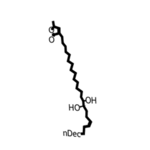 CCCCCCCCCCCC/C=C\CC[C@@H](O)[C@H](O)CCCCCCCCCCCCCCC1=CC(C)OC1=O